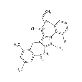 C=C[CH2][Pd-2]([Cl])=[c]1n(Cc2c(C)cc(C)cc2C)c(C)c(C)n1-c1c(C(C)C)cccc1C(C)C